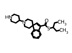 CCC(CC)SC(=O)C1=CC2(CCN(C3CCNCC3)CC2)c2ccccc21